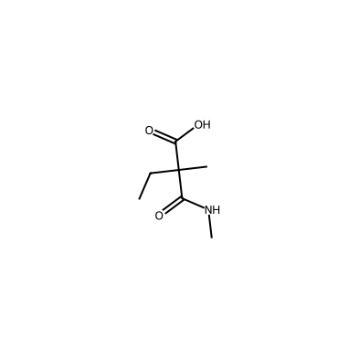 CCC(C)(C(=O)O)C(=O)NC